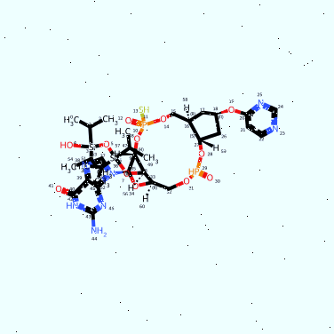 CC(C)[Si](O)(O[Si](O[C@H]1[C@H]2OP(=O)(S)OC[C@H]3C[C@@H](Oc4ccncn4)C[C@@H]3O[PH](=O)OC[C@H]1O[C@H]2n1cnc2c(=O)[nH]c(N)nc21)(C(C)C)C(C)C)C(C)C